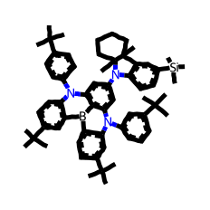 CC(C)(C)c1ccc(N2c3ccc(C(C)(C)C)cc3B3c4ccc(C(C)(C)C)cc4N(c4cccc(C(C)(C)C)c4)c4cc(N5c6ccc([Si](C)(C)C)cc6C6(C)CCCCC56C)cc2c43)cc1